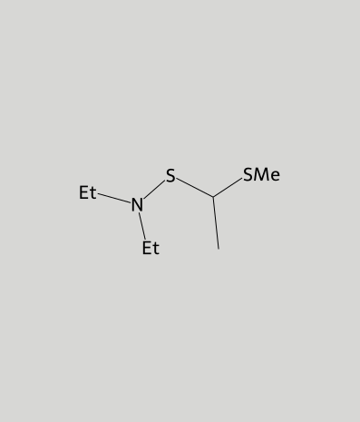 CCN(CC)SC(C)SC